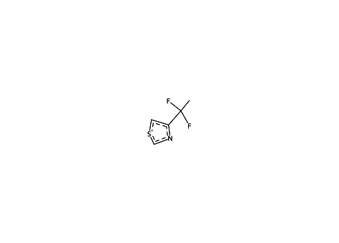 CC(F)(F)c1cscn1